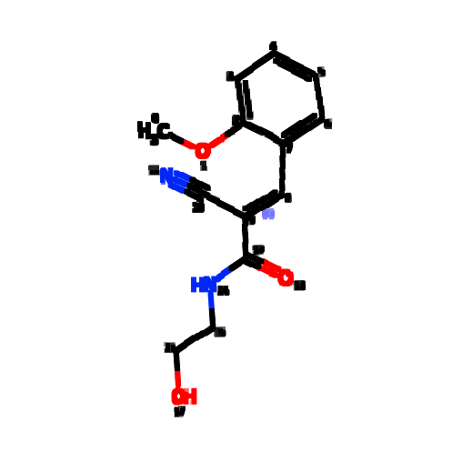 COc1ccccc1/C=C(\C#N)C(=O)NCCO